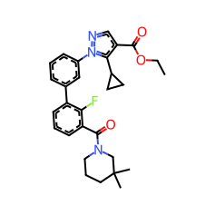 CCOC(=O)c1cnn(-c2cccc(-c3cccc(C(=O)N4CCCC(C)(C)C4)c3F)c2)c1C1CC1